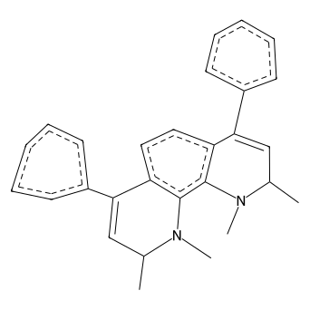 CC1C=C(c2ccccc2)c2ccc3c(c2N1C)N(C)C(C)C=C3c1ccccc1